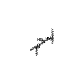 CCCCCCCCC(CCCCCC)CC(=O)NCCCCCN(CCO)CCCCCOC(=O)CC(CCCCCC)CCCCCCCC